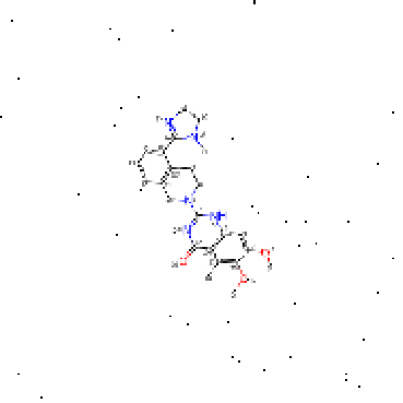 COc1cc2[nH]c(N3CCc4c(cccc4C4=NCCN4C)C3)nc(=O)c2c(C)c1OC